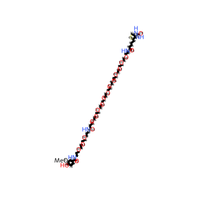 COc1cc(C(=O)NCCCOCCOCCOCCCNC(=O)CCOCCOCCOCCOCCOCCOCCOCCOCCOCCOCCOCCOCCNC(=O)CCCCC2SCC3NC(=O)NC32)ccc1O